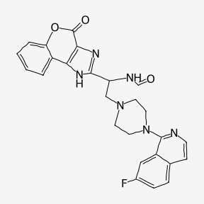 O=CNC(CN1CCN(c2nccc3ccc(F)cc23)CC1)c1nc2c(=O)oc3ccccc3c2[nH]1